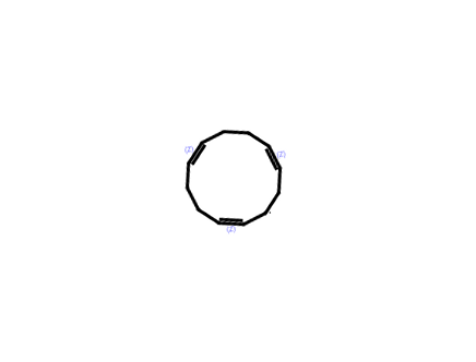 [CH]1/C=C\CC/C=C\CC/C=C\C1